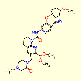 COC1CCC(Oc2cc(NC(=O)N3CCCc4cc(CN5CCN(C)CC5=O)c(C(OC)OC)nc43)ncc2C#N)CC1